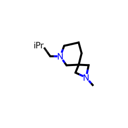 CC(C)CN1CCCC2(CN(C)C2)C1